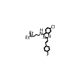 CCN(CC)CCCNc1nc(C=Cc2ccc(F)cc2)nc2cc(Cl)ccc12